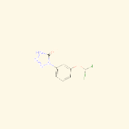 O=c1[nH]nnn1-c1cccc(OC(F)F)c1